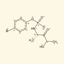 CC(O)C(=O)[C@H](C)NP(=O)(Cl)Oc1ccc(Br)cc1